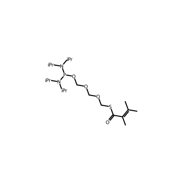 CC(C)=C(C)C(=O)SCOCOCOP(N(C(C)C)C(C)C)N(C(C)C)C(C)C